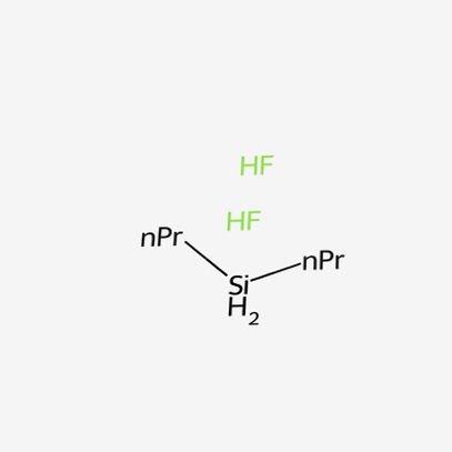 CCC[SiH2]CCC.F.F